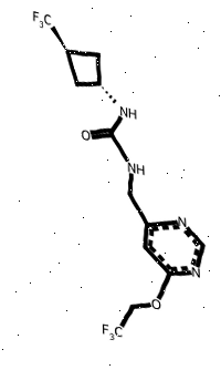 O=C(NCc1cc(OCC(F)(F)F)ncn1)N[C@H]1C[C@H](C(F)(F)F)C1